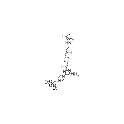 CCOP(=O)(CCN1CCN(c2cc(N)nc(NCC3CCC(CNCCCNC4C[C@@H]5CC[C@H]4C5)CC3)n2)CC1)OCC